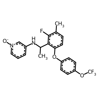 Cc1ccc(Oc2ccc(OC(F)(F)F)cc2)c(C(C)Nc2ccc[n+]([O-])c2)c1F